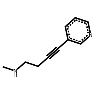 CNCCC#Cc1cccnc1